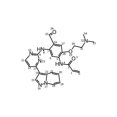 C=CC(=O)Nc1cc(Nc2nccc(-c3cnn4ccccc34)n2)c(C=O)cc1OCCN(C)C